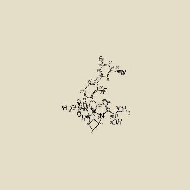 C[C@@H](O)C(=O)N1C2CC(C2)[C@H](NS(C)(=O)=O)[C@@H]1Cc1cccc(-c2cc(F)cc(C#N)c2)c1F